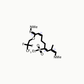 CCS(=O)(=O)/C(=C/C(C)=C\NC)CC/C=C\C(=N/NC)OCC(F)(F)C(F)(F)F